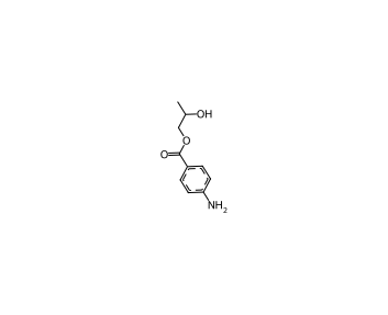 CC(O)COC(=O)c1ccc(N)cc1